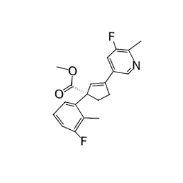 COC(=O)[C@]1(c2cccc(F)c2C)C=C(c2cnc(C)c(F)c2)CC1